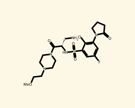 COCCN1CCN(C(=O)[C@H](CN)NS(=O)(=O)c2cc(F)cc(N3CCCC3=O)c2Cl)CC1